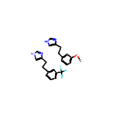 COc1cccc(CCc2c[nH]cn2)c1.FC(F)(F)c1cccc(CCc2c[nH]cn2)c1